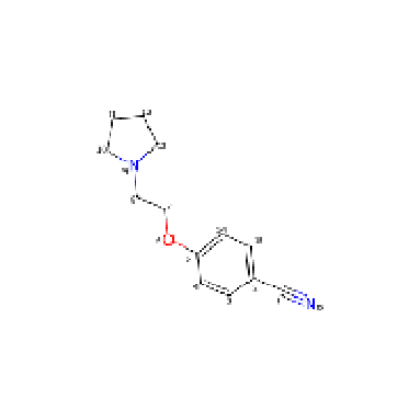 N#Cc1ccc(OCCN2CCCC2)cc1